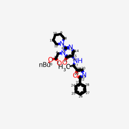 CCCCOC(=O)Cn1c(N2CCCCC2)ncc(N[C@H](C)c2cnc(-c3ccccc3)o2)c1=O